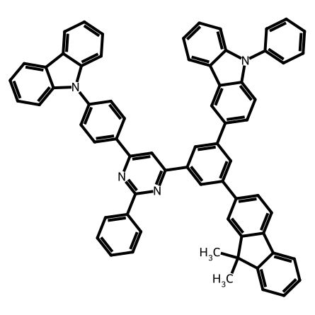 CC1(C)c2ccccc2-c2ccc(-c3cc(-c4ccc5c(c4)c4ccccc4n5-c4ccccc4)cc(-c4cc(-c5ccc(-n6c7ccccc7c7ccccc76)cc5)nc(-c5ccccc5)n4)c3)cc21